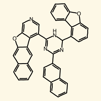 c1ccc2cc(C3=NC(c4cccc5oc6ccccc6c45)NC(c4cncc5oc6cc7ccccc7cc6c45)=N3)ccc2c1